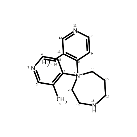 Cc1cnccc1[N+]1(c2ccncc2C)CCCNCC1